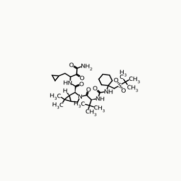 CC(C)(C)[C@H](NC(=O)NC1(CS(=O)(=O)C(C)(C)C)CCCCC1)C(=O)N1CC2[C@@H]([C@H]1C(=O)NC(CC1CC1)C(=O)C(N)=O)C2(C)C